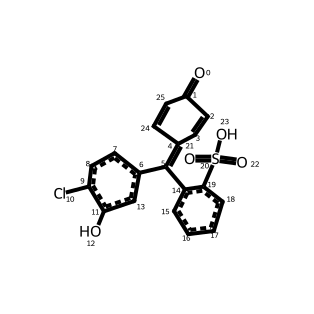 O=C1C=CC(=C(c2ccc(Cl)c(O)c2)c2ccccc2S(=O)(=O)O)C=C1